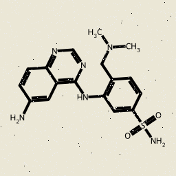 CN(C)Cc1ccc(S(N)(=O)=O)cc1Nc1ncnc2ccc(N)cc12